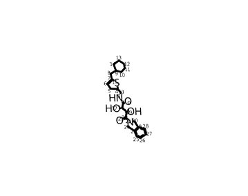 O=C(NCC1CC=C(CC2CCCCC2)S1)[C@H](O)[C@@H](O)C(=O)N1Cc2ccccc2C1